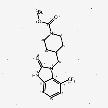 CC(C)(C)OC(=O)N1CCC(Cn2c(=O)[nH]c3cccc(C(F)(F)F)c32)CC1